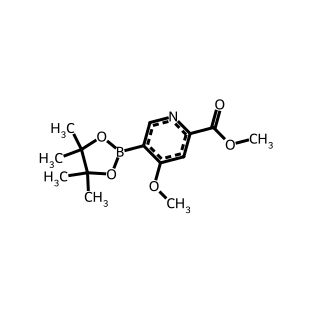 COC(=O)c1cc(OC)c(B2OC(C)(C)C(C)(C)O2)cn1